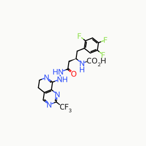 O=C(O)N[C@@H](CC(=O)NNC1=NCCc2cnc(C(F)(F)F)nc21)Cc1cc(F)c(F)cc1F